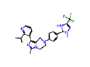 Cc1nc(-c2cccnc2C(C)C)c2n1CCN(c1ccc(C3NC(C(F)(F)F)=CN3C)cc1)C2